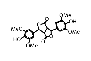 COc1cc(C2OC(=O)C3C(c4cc(OC)c(O)c(OC)c4)OC(=O)C23)cc(OC)c1O